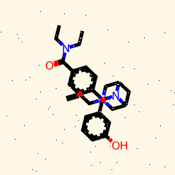 C=CCN1CC2CC(C1)N2C(c1ccc(C(=O)N(CC)CC)cc1)c1cccc(O)c1